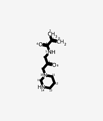 C=C(C)C(=O)NCC(=O)CN1CCCNC1